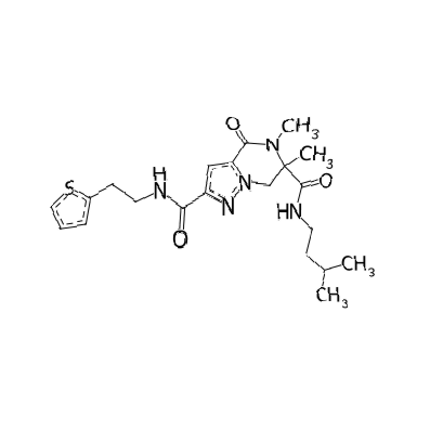 CC(C)CCNC(=O)C1(C)Cn2nc(C(=O)NCCc3cccs3)cc2C(=O)N1C